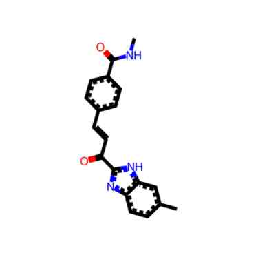 CNC(=O)c1ccc(C=CC(=O)c2nc3ccc(C)cc3[nH]2)cc1